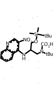 CC(C)(C)N(CC(CO[Si](C)(C)C(C)(C)C)Nc1c([N+](=O)[O-])cnc2ccccc12)C(=O)O